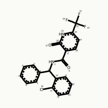 O=C(NC(c1ccccc1)c1ccccc1Cl)c1ccc(C(F)(F)F)[nH]c1=O